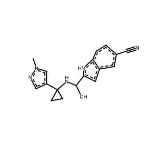 Cn1cc(C2(NC(O)c3cc4cc(C#N)ccc4[nH]3)CC2)cn1